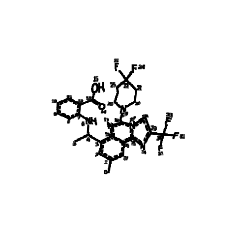 Cc1cc(C(C)Nc2ccccc2C(=O)O)c2nc(N3CCC(F)(F)CC3)n3cc(C(F)(F)F)nc3c2c1